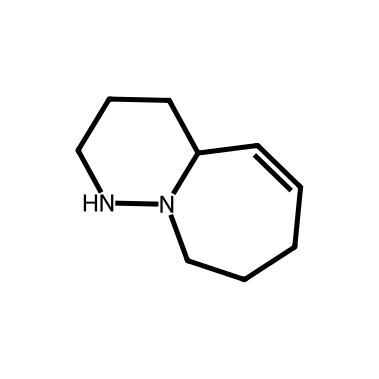 C1=CC2CCCNN2CCC1